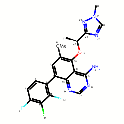 COc1cc(-c2ccc(F)c(Cl)c2F)c2ncnc(N)c2c1O[C@@H](C)c1ncn(C)n1